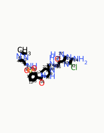 Cc1cnc(CNS(=O)(=O)c2cccc(C(=O)N3CCC4(CC3)CN/C(=C\C(=O)c3nc(Cl)c(N)nc3N)N4)c2)cn1